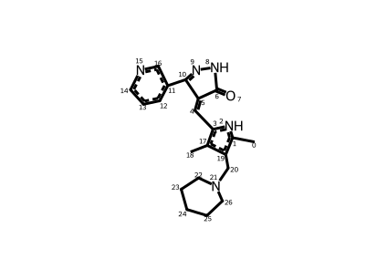 Cc1[nH]c(C=C2C(=O)NN=C2c2cccnc2)c(C)c1CN1CCCCC1